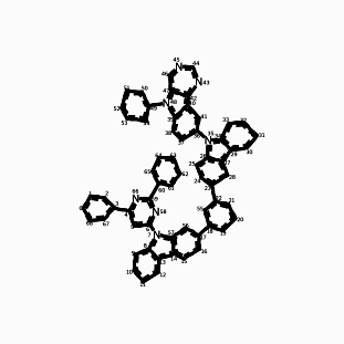 c1ccc(-c2cc(-n3c4ccccc4c4ccc(-c5cccc(-c6ccc7c(c6)c6ccccc6n7-c6ccc7c(c6)c6ncncc6n7-c6ccccc6)c5)cc43)nc(-c3ccccc3)n2)cc1